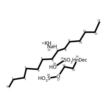 CCCCCCCCCCCCCC.CCCCCCCCCCCCOS(=O)(=O)O.O=S(=O)(O)O.[KH].[NaH]